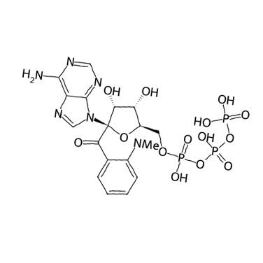 CNc1ccccc1C(=O)[C@@]1(n2cnc3c(N)ncnc32)O[C@H](COP(=O)(O)OP(=O)(O)OP(=O)(O)O)[C@@H](O)[C@H]1O